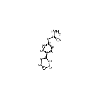 NC(=O)Cc1ccc(C2CCOCC2)cn1